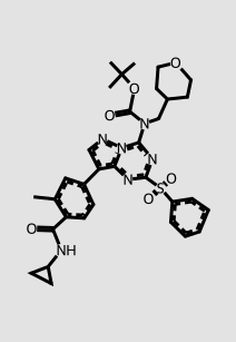 Cc1cc(-c2cnn3c(N(CC4CCOCC4)C(=O)OC(C)(C)C)nc(S(=O)(=O)c4ccccc4)nc23)ccc1C(=O)NC1CC1